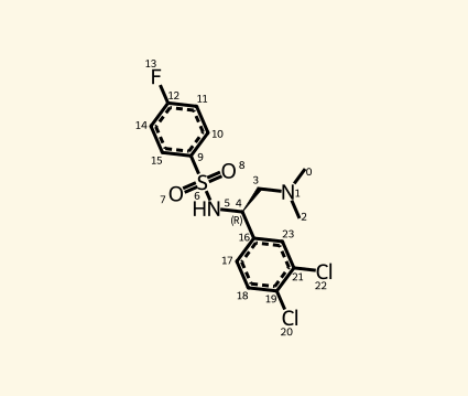 CN(C)C[C@H](NS(=O)(=O)c1ccc(F)cc1)c1ccc(Cl)c(Cl)c1